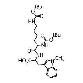 Cn1cc(CC(NC(=O)[C@H](CCCCNC(=O)OC(C)(C)C)NC(=O)OC(C)(C)C)C(=O)O)c2ccccc21